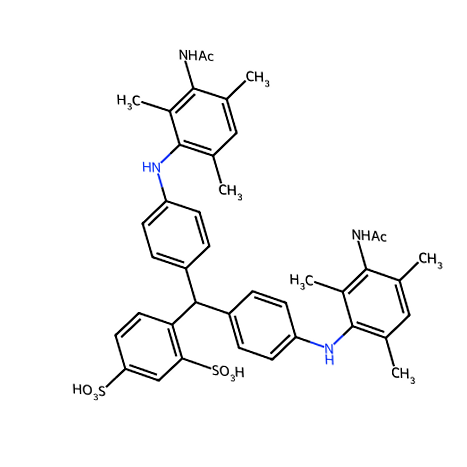 CC(=O)Nc1c(C)cc(C)c(Nc2ccc(C(c3ccc(Nc4c(C)cc(C)c(NC(C)=O)c4C)cc3)c3ccc(S(=O)(=O)O)cc3S(=O)(=O)O)cc2)c1C